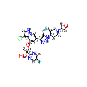 Cc1c(-c2cc(OCC(C)(O)c3ncc(F)cn3)c3c(Cl)cnn3c2)nnn1[C@@H]1CCN(C2COC2)C[C@@H]1F